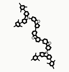 Cc1cc(C)c(-c2ccc3c(c2)c2cc(-c4c(C)cc(C)cc4C)ccc2n3-c2ccc3oc4ccc(-c5ccc6oc7ccc(-c8ccc9oc%10ccc(-n%11c%12ccc(-c%13c(C)cc(C)cc%13C)cc%12c%12cc(-c%13c(C)cc(C)cc%13C)ccc%12%11)cc%10c9c8)cc7c6c5)cc4c3c2)c(C)c1